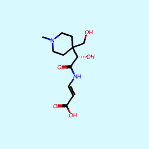 CN1CCC(CO)([C@H](O)C(=O)N/C=C/C(=O)O)CC1